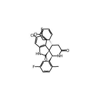 Cc1ccc(F)cc1[C@@H]1NC(=O)C[C@@H](C2C=CC=C(Cl)C2)[C@]12C(=O)Nc1cc(Cl)c(F)cc12